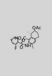 CC(=O)O[C@H]1CCc2cc(C)c(NS(=O)(=O)c3ccccc3F)c(C(=O)O)c2[C@@H]1C